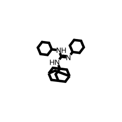 C1CCC(N=C(NC2CCCCC2)NC23CC4CC(CC(C4)C2)C3)CC1